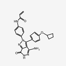 C=CC(=O)Nc1ccc(-n2nc3c(=O)[nH]nc(N)c3c2-c2ccc(OC3CCC3)cc2)cc1